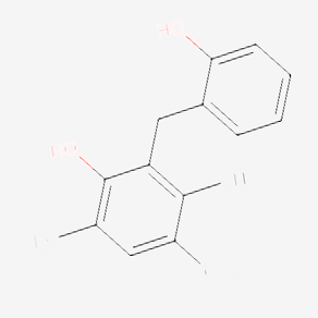 Cc1cc(C)c(O)c(Cc2ccccc2O)c1C